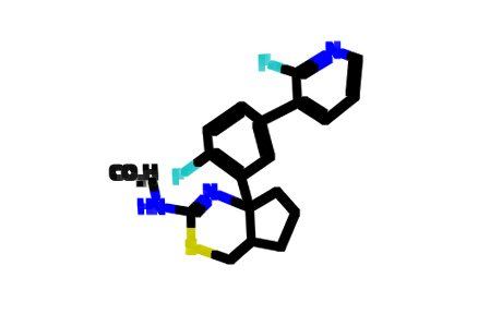 O=C(O)NC1=NC2(c3cc(-c4cccnc4F)ccc3F)CCCC2CS1